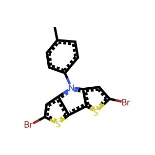 Cc1ccc(-n2c3cc(Br)sc3c3sc(Br)cc32)cc1